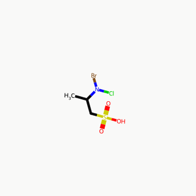 CC(CS(=O)(=O)O)N(Cl)Br